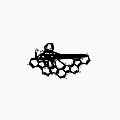 CCCCCCC1N(c2ccccc2)C(c2ccccc2)C23C4=c5ccc6c7ccc8c9ccc%10c%11ccc%12c%13c(c%14c%15c2c5c6c2c7c8c5c9c%10c(c%13%11)c%14c5c%152)C13C=%12C=C4